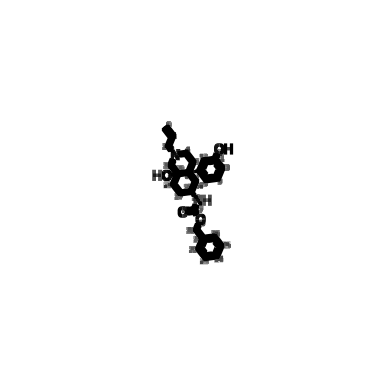 C=CCN1CC[C@@]2(c3cccc(O)c3)C[C@@H](NC(=O)OCc3ccccc3)CC[C@]2(O)C1